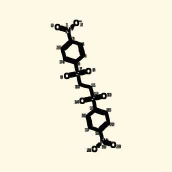 O=[N+]([O-])c1ccc(S(=O)(=O)CCS(=O)(=O)c2ccc([N+](=O)[O-])cc2)cc1